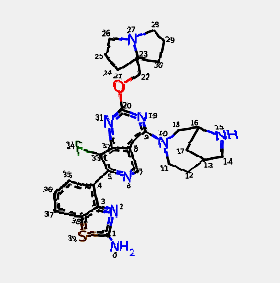 Nc1nc2c(-c3ncc4c(N5CCC6CNC(C6)C5)nc(OCC56CCCN5CCC6)nc4c3F)cccc2s1